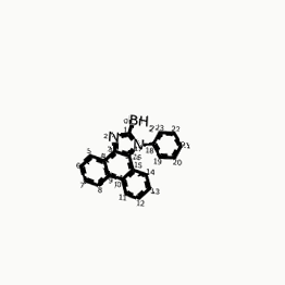 Bc1nc2c3ccccc3c3ccccc3c2n1-c1ccccc1